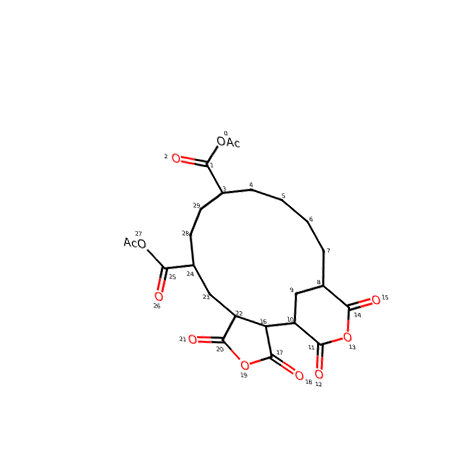 CC(=O)OC(=O)C1CCCCC2CC(C(=O)OC2=O)C2C(=O)OC(=O)C2CC(C(=O)OC(C)=O)CC1